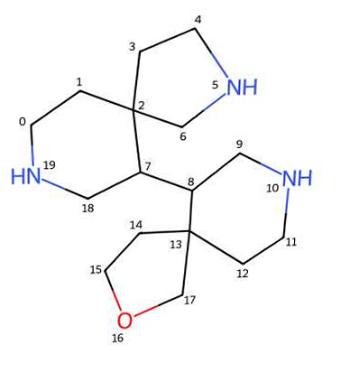 C1CC2(CCNC2)C(C2CNCCC23CCOC3)CN1